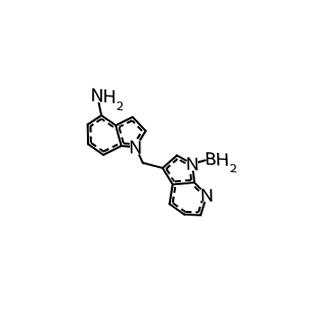 Bn1cc(Cn2ccc3c(N)cccc32)c2cccnc21